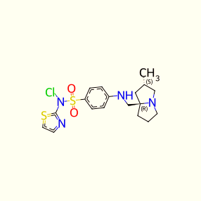 C[C@@H]1CN2CCC[C@]2(CNc2ccc(S(=O)(=O)N(Cl)c3nccs3)cc2)C1